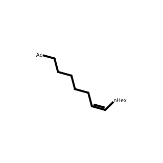 CCCCCC/C=C\CCCCCC(C)=O